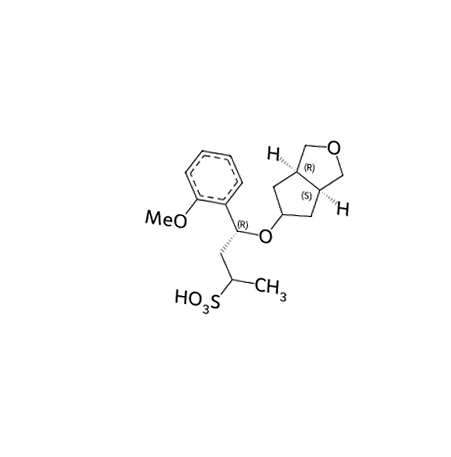 COc1ccccc1[C@@H](CC(C)S(=O)(=O)O)OC1C[C@H]2COC[C@H]2C1